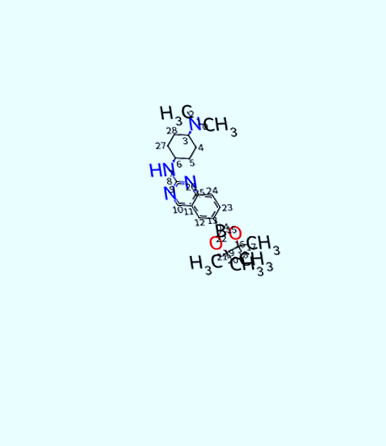 CN(C)[C@H]1CC[C@@H](Nc2ncc3cc(B4OC(C)(C)C(C)(C)O4)ccc3n2)CC1